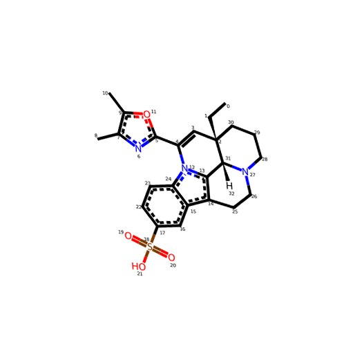 CC[C@@]12C=C(c3nc(C)c(C)o3)n3c4c(c5cc(S(=O)(=O)O)ccc53)CCN(CCC1)[C@H]42